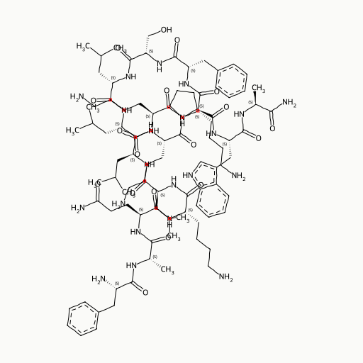 CC(C)C[C@H](NC(=O)[C@H](CCCCN)NC(=O)[C@H](CCC(N)=O)NC(=O)[C@H](C)NC(=O)[C@@H](N)Cc1ccccc1)C(=O)N[C@@H](CC(C)C)C(=O)N[C@@H](CCCCN)C(=O)N[C@@H](CCCCN)C(=O)N[C@@H](Cc1ccccc1)C(=O)N[C@@H](CO)C(=O)N[C@@H](CC(C)C)C(=O)N[C@@H](CC(C)C)C(=O)N[C@@H](CCCCN)C(=O)N1CCC[C@H]1C(=O)N[C@@H](Cc1c[nH]c2ccccc12)C(=O)N[C@@H](C)C(N)=O